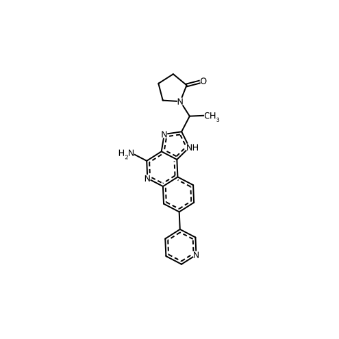 CC(c1nc2c(N)nc3cc(-c4cccnc4)ccc3c2[nH]1)N1CCCC1=O